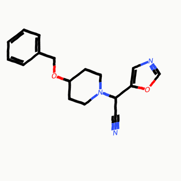 N#CC(c1cnco1)N1CCC(OCc2ccccc2)CC1